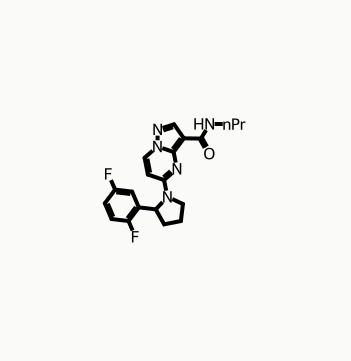 CCCNC(=O)c1cnn2ccc(N3CCCC3c3cc(F)ccc3F)nc12